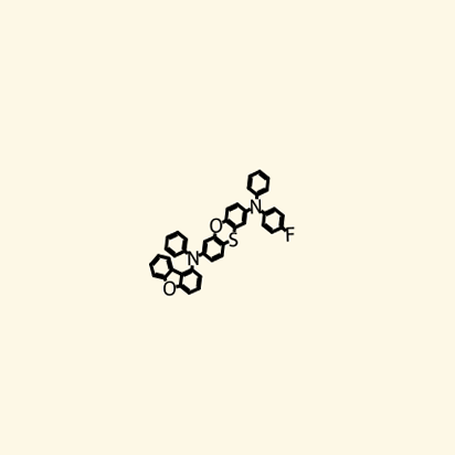 Fc1ccc(N(c2ccccc2)c2ccc3c(c2)Sc2ccc(N(c4ccccc4)c4cccc5oc6ccccc6c45)cc2O3)cc1